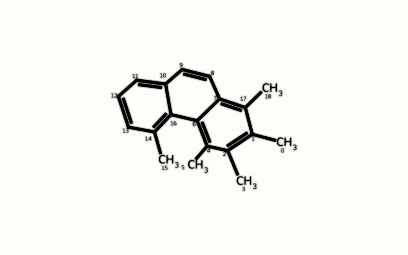 Cc1c(C)c(C)c2c(ccc3cccc(C)c32)c1C